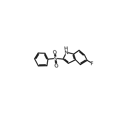 O=S(=O)(c1ccccc1)c1cc2cc(F)ccc2[nH]1